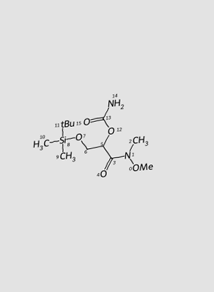 CON(C)C(=O)C(CO[Si](C)(C)C(C)(C)C)OC(N)=O